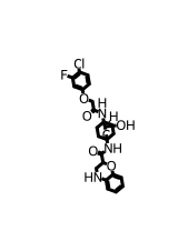 O=C(COc1ccc(Cl)c(F)c1)NC12CCC(NC(=O)C3CNc4ccccc4O3)(CC1)C[C@@H]2O